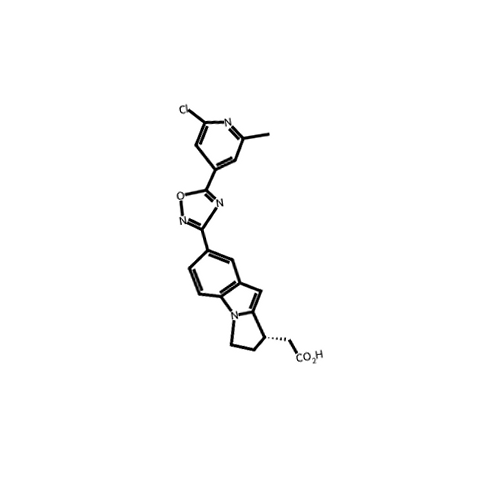 Cc1cc(-c2nc(-c3ccc4c(c3)cc3n4CC[C@H]3CC(=O)O)no2)cc(Cl)n1